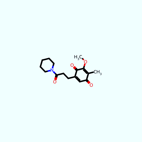 COC1=C(C)C(=O)C=C(CCC(=O)N2CCCCC2)C1=O